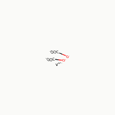 O=C([O-])[O-].O=C([O-])[O-].[V+4]